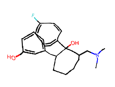 CN(C)CC1CCCC(c2cccc(O)c2)C1(O)c1ccc(F)cc1